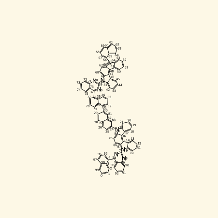 c1ccc2c(-c3nc(-n4c5ccccc5c5c6c7ccccc7n(-c7ccc8ccc(-c9cccc%10c(-c%11nc(-n%12c%13ccccc%13c%13c%14c%15ccccc%15n(-c%15cccc%16ccccc%15%16)c%14ccc%13%12)nc%12ccccc%11%12)cccc9%10)cc8c7)c6ccc54)nc4ccccc34)cccc2c1